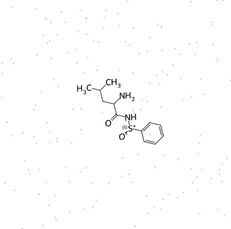 CC(C)CC(N)C(=O)N[S@+]([O-])c1ccccc1